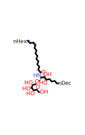 CCCCCC/C=C/C=C\CCCCCCCCCC(=O)N[C@@H](COC1OC(CO)C(O)C(O)C1O)[C@H](O)[C@H](O)CCCCCCCCCCCCCC